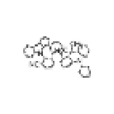 CC1(C)c2ccccc2N(c2ccccc2)c2cccc(-c3ccccc3-c3cccc(C#N)c3-n3c4ccccc4c4ccccc43)c21